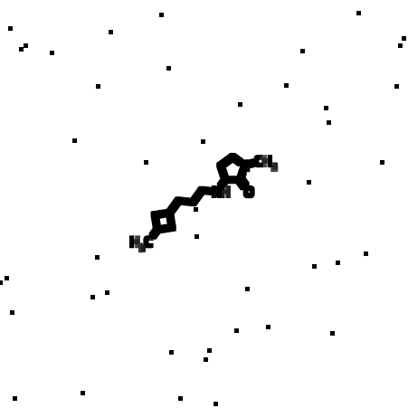 CC1CC(CCCNC2CCN(C)C2=O)C1